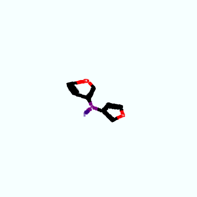 IP(c1ccoc1)c1ccoc1